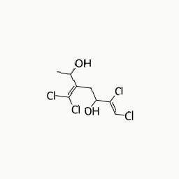 CC(O)C(CC(O)C(Cl)=CCl)=C(Cl)Cl